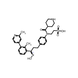 Cc1cc(-c2cccc(/C(CCc3ccc(N(CCS(=O)(=O)O)C(=O)C4CCNCC4)cc3)=N\O)c2C)ccn1